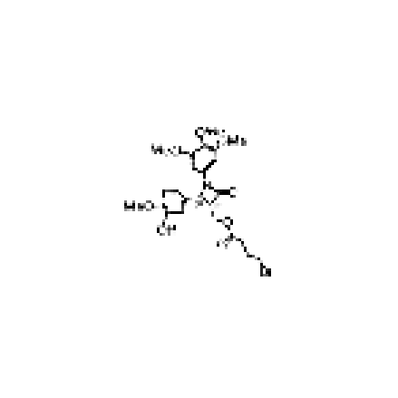 COc1ccc([C@H]2[C@@H](COC(=O)CCCBr)C(=O)N2c2cc(OC)c(OC)c(OC)c2)cc1O